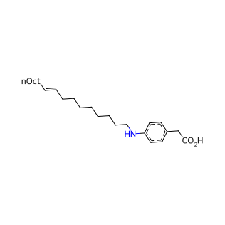 CCCCCCCCC=CCCCCCCCCNc1ccc(CC(=O)O)cc1